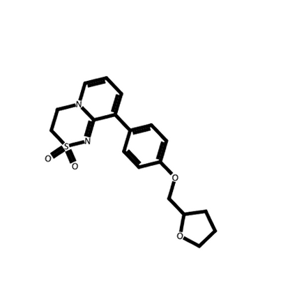 O=S1(=O)CCN2C=CC=C(c3ccc(OCC4CCCO4)cc3)C2=N1